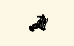 O=C(Nc1n[nH]c(=S)s1)NC(Cc1ccccc1)C(=O)N1CCN(c2ccccc2)CC1